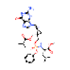 COC(=O)[C@H](CC(C)C)NP(=O)(OCC1(COC(=O)C(C)C)C/C1=C/n1cnc2c(=O)[nH]c(N)nc21)Oc1ccccc1